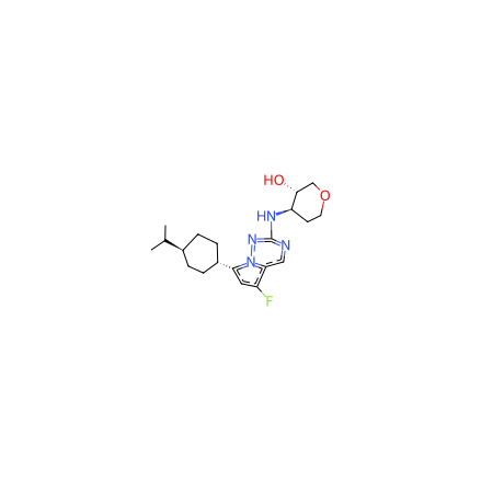 CC(C)[C@H]1CC[C@H](c2cc(F)c3cnc(N[C@@H]4CCOC[C@H]4O)nn32)CC1